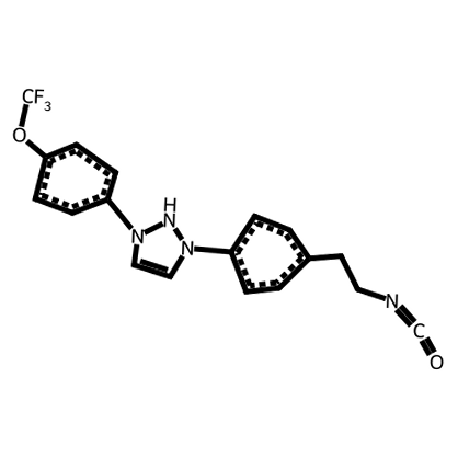 O=C=NCCc1ccc(N2C=CN(c3ccc(OC(F)(F)F)cc3)N2)cc1